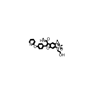 CNC(=O)c1c(-c2ccc(Oc3ccccn3)cc2)oc2cc(N(CCO)S(C)(=O)=O)c(OC)cc12